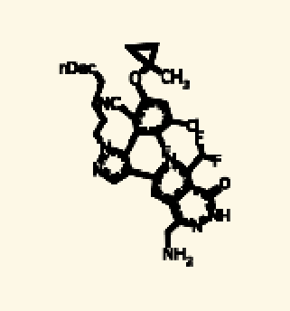 CCCCCCCCCCCCCCn1ncc(-c2cc3c(CN)n[nH]c(=O)c3c(C(F)F)n2)c1-c1c(F)c(Cl)cc(OC2(C)CC2)c1C#N